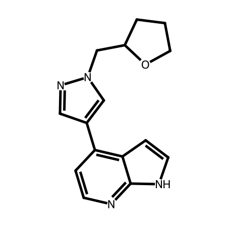 c1cc(-c2cnn(CC3CCCO3)c2)c2cc[nH]c2n1